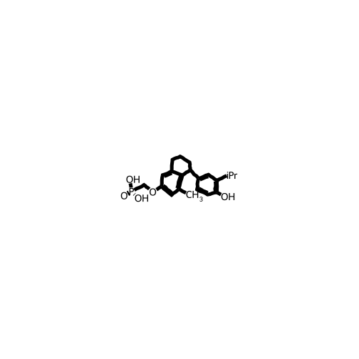 Cc1cc(OCP(=O)(O)O)cc2c1C(c1ccc(O)c(C(C)C)c1)CCC2